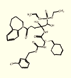 CCOP(=O)(OCC)C(O)C(O)(CCC(=O)N1CCCCc2ccccc21)NC(=O)[C@H](CC1CCCCC1)NC(=O)OCc1cccc(Cl)c1